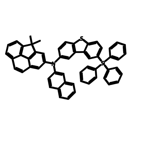 CC1(C)c2cccc3ccc4cc(N(c5ccc6ccccc6c5)c5ccc6sc7ccc([Si](c8ccccc8)(c8ccccc8)c8ccccc8)cc7c6c5)cc1c4c23